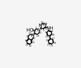 OC1CN(c2cc(Nc3ccc(-c4ccccc4)cc3)ncn2)CCC1N1CCc2ccccc2C1